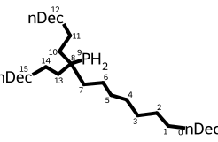 CCCCCCCCCCCCCCCCCC(P)(CCCCCCCCCCCC)CCCCCCCCCCCC